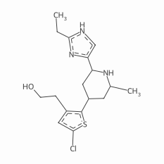 CCc1nc(C2CC(c3sc(Cl)cc3CCO)CC(C)N2)c[nH]1